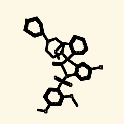 COCc1ccccc1C1(N2CCN(c3ccncc3)CC2)C(=O)N(S(=O)(=O)c2ccc(OC)cc2OC)c2ccc(Cl)cc21